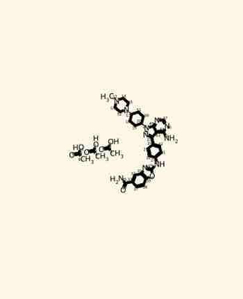 CC(=O)O.CC(=O)O.CC(=O)O.CN1CCN([C@H]2CC[C@@H](n3nc(-c4ccc(Nc5nc6cc(C(N)=O)ccc6o5)cc4)c4c(N)ncnc43)CC2)CC1